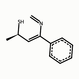 C=N/C(=C\[C@@H](C)S)c1ccccc1